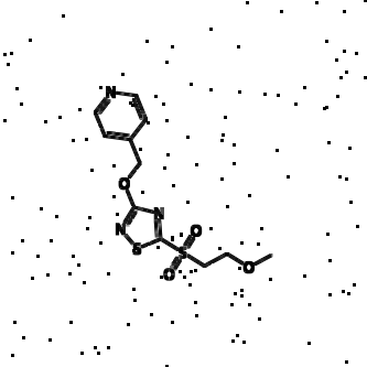 COCCS(=O)(=O)c1nc(OCc2ccncc2)ns1